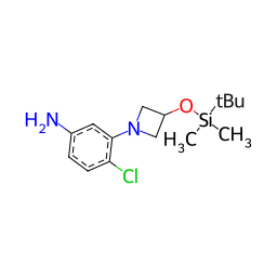 CC(C)(C)[Si](C)(C)OC1CN(c2cc(N)ccc2Cl)C1